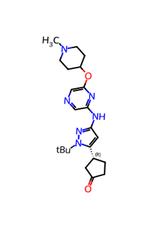 CN1CCC(Oc2cncc(Nc3cc([C@@H]4CCC(=O)C4)n(C(C)(C)C)n3)n2)CC1